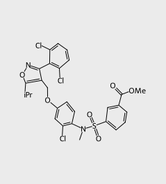 COC(=O)c1cccc(S(=O)(=O)N(C)c2ccc(OCc3c(-c4c(Cl)cccc4Cl)noc3C(C)C)cc2Cl)c1